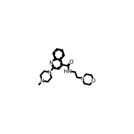 CN1CCN(c2cc(C(=O)NCCN3CCOCC3)c3ccccc3n2)CC1